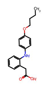 CCCCOc1ccc(Nc2ccccc2CC(=O)O)cc1